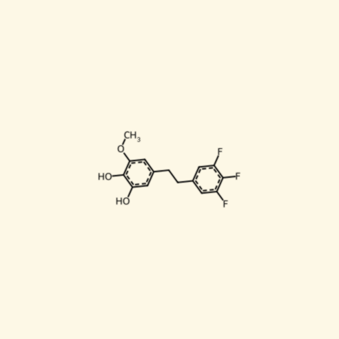 COc1cc(CCc2cc(F)c(F)c(F)c2)cc(O)c1O